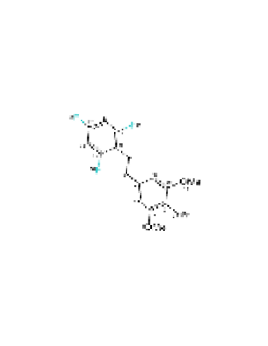 CCCc1c(OC)cc(CCc2c(F)cc(F)cc2F)cc1OC